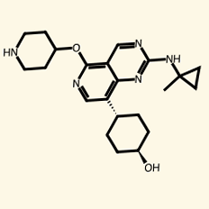 CC1(Nc2ncc3c(OC4CCNCC4)ncc([C@H]4CC[C@H](O)CC4)c3n2)CC1